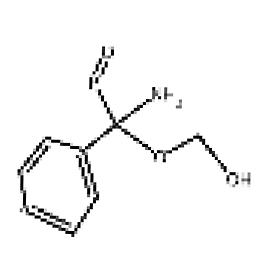 NC(OCO)(P=O)c1cc[c]cc1